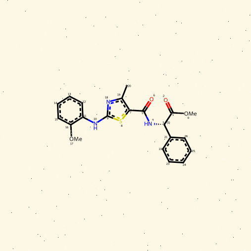 COC(=O)[C@@H](NC(=O)c1sc(Nc2ccccc2OC)nc1C)c1ccccc1